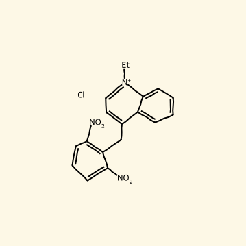 CC[n+]1ccc(Cc2c([N+](=O)[O-])cccc2[N+](=O)[O-])c2ccccc21.[Cl-]